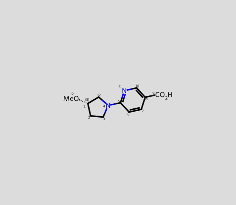 CO[C@H]1CCN(c2ccc(C(=O)O)cn2)C1